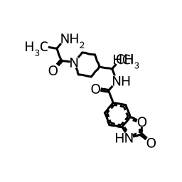 CC(N)C(=O)N1CCC(C(C)NC(=O)c2ccc3[nH]c(=O)oc3c2)CC1.Cl